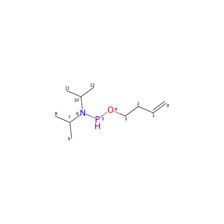 C=CCCOPN(C(C)C)C(C)C